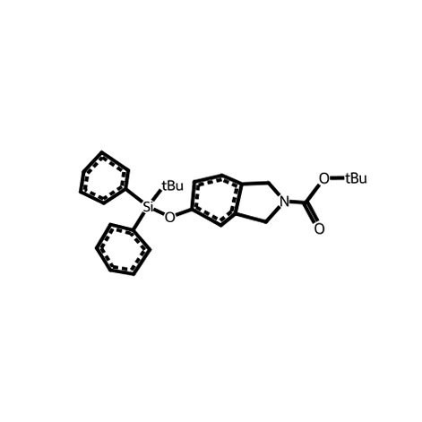 CC(C)(C)OC(=O)N1Cc2ccc(O[Si](c3ccccc3)(c3ccccc3)C(C)(C)C)cc2C1